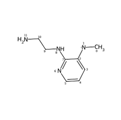 C[N]c1cccnc1NCCN